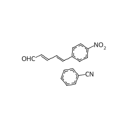 N#Cc1ccccc1.O=CC=CC=Cc1ccc([N+](=O)[O-])cc1